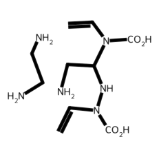 C=CN(NC(CN)N(C=C)C(=O)O)C(=O)O.NCCN